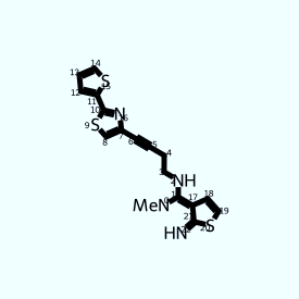 CN/C(NCCC#Cc1csc(-c2cccs2)n1)=C1/C=CSC1=N